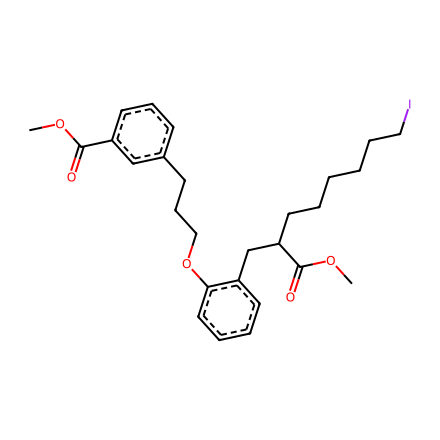 COC(=O)c1cccc(CCCOc2ccccc2CC(CCCCCCI)C(=O)OC)c1